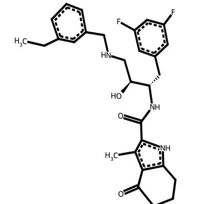 CCc1cccc(CNC[C@H](O)[C@H](Cc2cc(F)cc(F)c2)NC(=O)c2[nH]c3c(c2C)C(=O)CCC3)c1